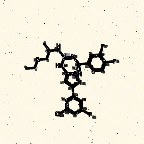 CCOCC(C)N/C(=N/C(=O)c1ccc(F)c(F)c1)Nc1cc(-c2cc(F)cc(Cl)c2)n[nH]1